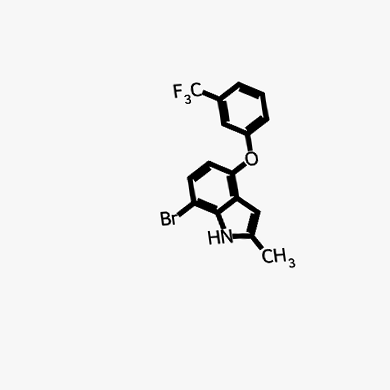 Cc1cc2c(Oc3cccc(C(F)(F)F)c3)ccc(Br)c2[nH]1